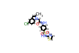 Cc1cc2cc(Cl)ccc2n1CC(=O)Nc1ccc(S(=O)(=O)Nc2nccs2)cc1